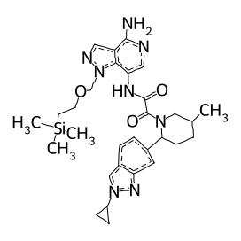 CC1CCC(c2ccc3cn(C4CC4)nc3c2)N(C(=O)C(=O)Nc2cnc(N)c3cnn(COCC[Si](C)(C)C)c23)C1